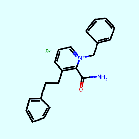 NC(=O)c1c(CCc2ccccc2)ccc[n+]1Cc1ccccc1.[Br-]